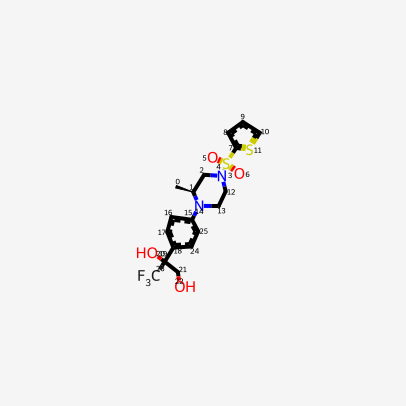 C[C@H]1CN(S(=O)(=O)c2cccs2)CCN1c1ccc(C(O)(CO)C(F)(F)F)cc1